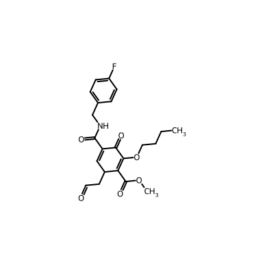 CCCCOC1=C(C(=O)OC)C(CC=O)C=C(C(=O)NCc2ccc(F)cc2)C1=O